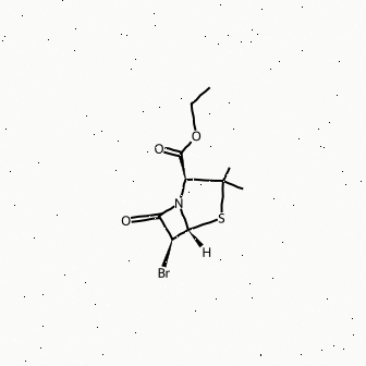 CCOC(=O)[C@@H]1N2C(=O)[C@H](Br)[C@H]2SC1(C)C